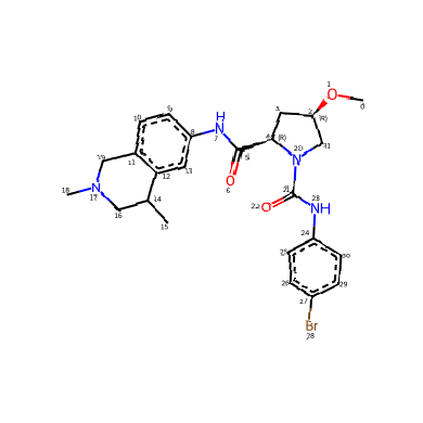 CO[C@@H]1C[C@H](C(=O)Nc2ccc3c(c2)C(C)CN(C)C3)N(C(=O)Nc2ccc(Br)cc2)C1